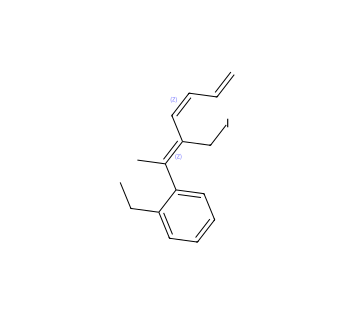 C=C/C=C\C(CI)=C(/C)c1ccccc1CC